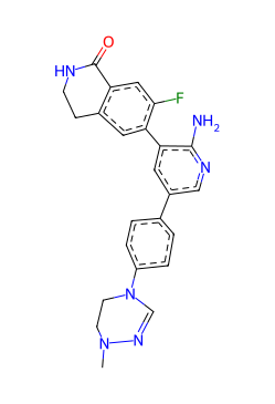 CN1CCN(c2ccc(-c3cnc(N)c(-c4cc5c(cc4F)C(=O)NCC5)c3)cc2)C=N1